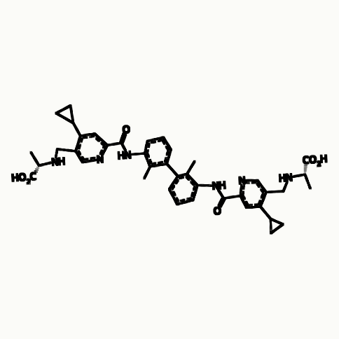 Cc1c(NC(=O)c2cc(C3CC3)c(CN[C@@H](C)C(=O)O)cn2)cccc1-c1cccc(NC(=O)c2cc(C3CC3)c(CN[C@@H](C)C(=O)O)cn2)c1C